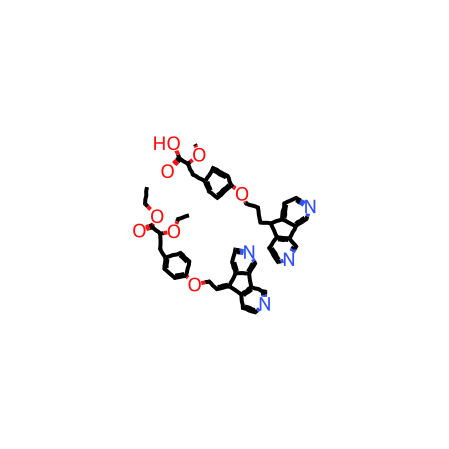 CCOC(=O)C(Cc1ccc(OCC=C2c3ccncc3-c3cnccc32)cc1)OCC.COC(Cc1ccc(OCCCC2c3ccncc3-c3cnccc32)cc1)C(=O)O